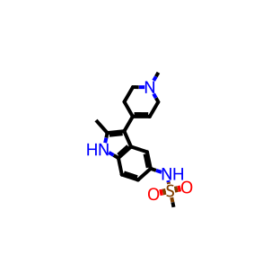 Cc1[nH]c2ccc(NS(C)(=O)=O)cc2c1C1=CCN(C)CC1